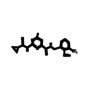 COc1c(CNC(=O)c2cc(C)nc(NC(=O)C3CC3)n2)cccc1C(F)(F)F